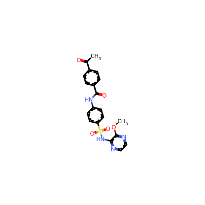 COc1nccnc1NS(=O)(=O)c1ccc(NC(=O)c2ccc(C(C)=O)cc2)cc1